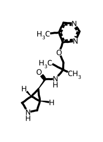 Cc1cncnc1OCC(C)(C)NC(=O)[C@H]1[C@@H]2CNC[C@@H]21